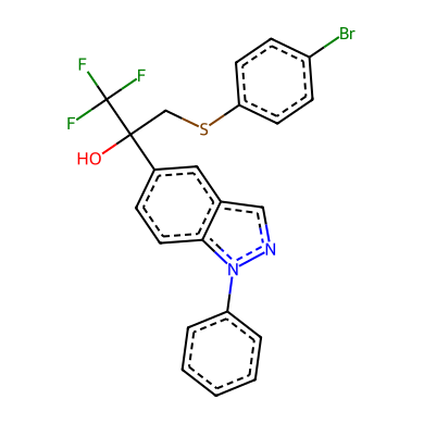 OC(CSc1ccc(Br)cc1)(c1ccc2c(cnn2-c2ccccc2)c1)C(F)(F)F